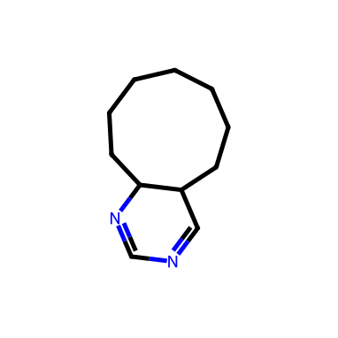 C1=NC=NC2CCCCCCCC12